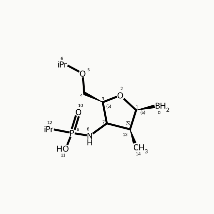 B[C@@H]1O[C@H](COC(C)C)C(NP(=O)(O)C(C)C)[C@@H]1C